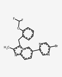 Cc1nc2ccc(-c3cnc(Br)cn3)cn2c1Cc1ccccc1OC(F)F